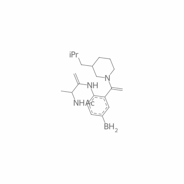 Bc1ccc(NC(=C)C(C)NC(C)=O)c(C(=C)N2CCCC(CC(C)C)C2)c1